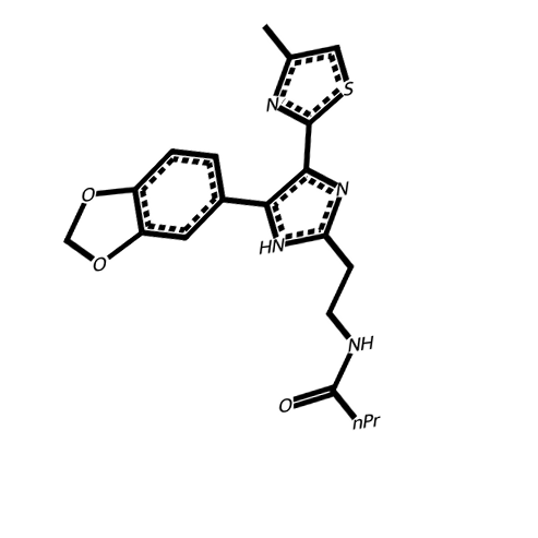 CCCC(=O)NCCc1nc(-c2nc(C)cs2)c(-c2ccc3c(c2)OCO3)[nH]1